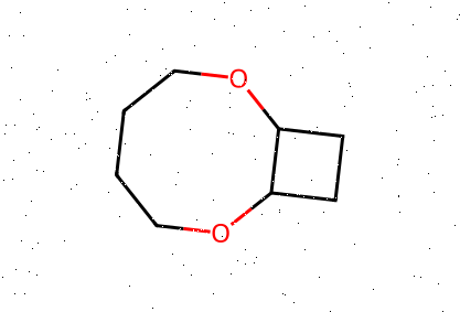 C1CCOC2CCC2OC1